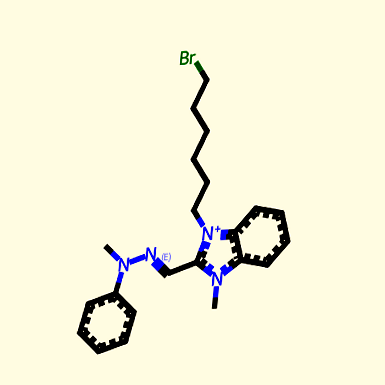 CN(/N=C/c1n(C)c2ccccc2[n+]1CCCCCCBr)c1ccccc1